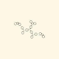 c1ccc(N(c2ccc(-c3ccc4oc5ccccc5c4c3)cc2)c2ccc(N(c3ccc(N(c4ccccc4)c4ccc(-c5ccc6oc7ccccc7c6c5)cc4)cc3)c3ccc(-n4c5ccccc5c5ccccc54)cc3)cc2)cc1